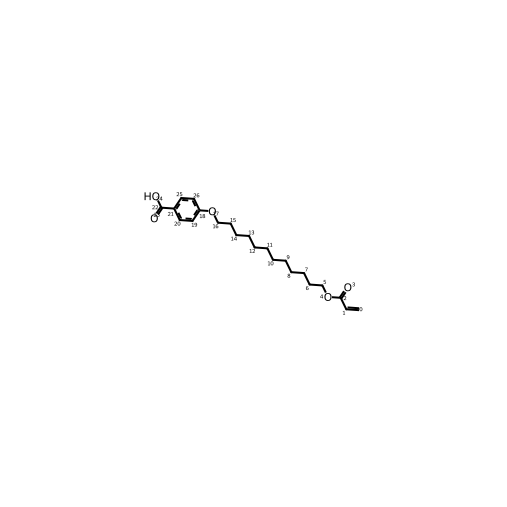 C=CC(=O)OCCCCCCCCCCCCOc1ccc(C(=O)O)cc1